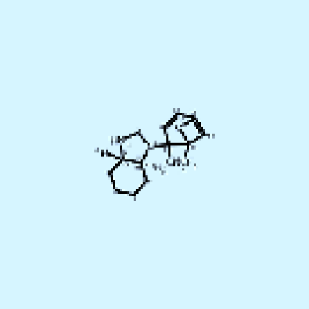 N#CC1(N2CN[C@H]3CCCC[C@@H]32)C=CC2=CC1(C(F)(F)F)O2